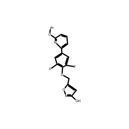 CC(C)Oc1cccc(-c2cc(F)c(OCc3cc(O)no3)c(F)c2)n1